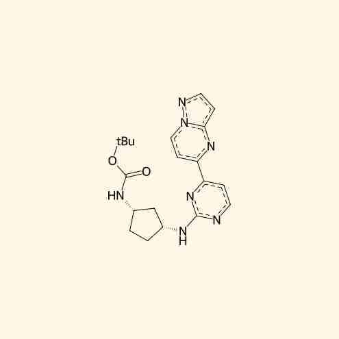 CC(C)(C)OC(=O)N[C@H]1CC[C@@H](Nc2nccc(-c3ccn4nccc4n3)n2)C1